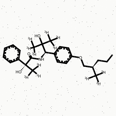 [2H]C([2H])([2H])[C@H](CCC)COc1ccc([C@@H](NC(=O)[C@](O)(c2ccccc2)C([2H])([2H])[2H])C(O)(C([2H])([2H])[2H])C([2H])([2H])[2H])cc1